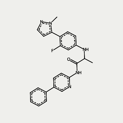 CC(Nc1ccc(-c2ccnn2C)c(F)c1)C(=O)Nc1ccc(-c2ccccc2)cn1